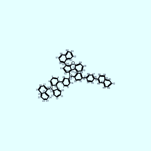 c1cc(-c2cccc3c2c2ccccc2n3-c2cccc3ccccc23)cc(N(c2ccc(-c3ccc(-c4ccc5ccccc5c4)cc3)cc2)c2ccc(-c3cccc4ccccc34)c3oc4ccccc4c23)c1